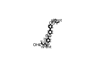 C=CC(=O)OC(CCCCCCC)Oc1ccc(C2=CC=C(OC(=O)c3ccc(OC(CCCCC)C(O)CC(=C)C=O)cc3)CC2)cc1